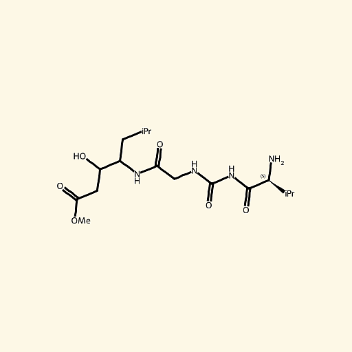 COC(=O)CC(O)C(CC(C)C)NC(=O)CNC(=O)NC(=O)[C@@H](N)C(C)C